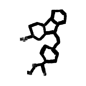 CN1CCn2c(c(Cc3ccc(C(=O)NO)cc3)c3ccccc32)C1